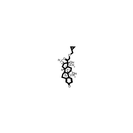 C[C@@H]1C[C@H]2[C@@H]3CCC4=CC(=O)C=C[C@]4(C)[C@@]3(F)[C@@H](O)C[C@]2(C)[C@@]1(O)C(=O)COCC1CC1